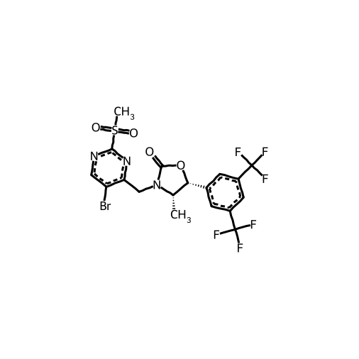 C[C@H]1[C@@H](c2cc(C(F)(F)F)cc(C(F)(F)F)c2)OC(=O)N1Cc1nc(S(C)(=O)=O)ncc1Br